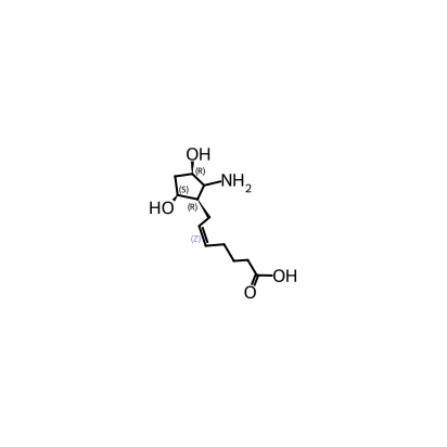 NC1[C@H](O)C[C@H](O)[C@@H]1C/C=C\CCCC(=O)O